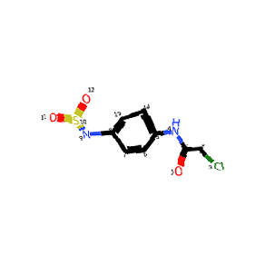 O=C(CCl)Nc1ccc(N=S(=O)=O)cc1